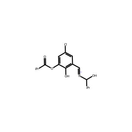 CC(C)C(=O)Oc1cc(Cl)cc(/C=N/C(O)C(C)C)c1O